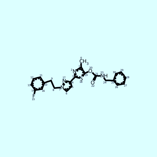 Cc1nc(-c2ccn(CCc3cccc(F)c3)n2)sc1OC(=O)NCc1ccccc1